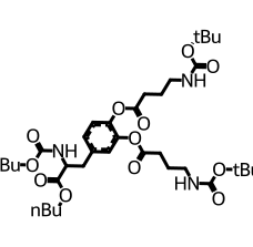 CCCCOC(=O)C(Cc1ccc(OC(=O)CCCNC(=O)OC(C)(C)C)c(OC(=O)CCCNC(=O)OC(C)(C)C)c1)NC(=O)OC(C)(C)C